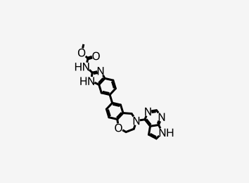 COC(=O)Nc1nc2ccc(-c3ccc4c(c3)CN(c3ncnc5[nH]ccc35)CCO4)cc2[nH]1